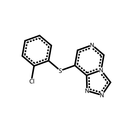 Clc1ccccc1Sc1cncn2cnnc12